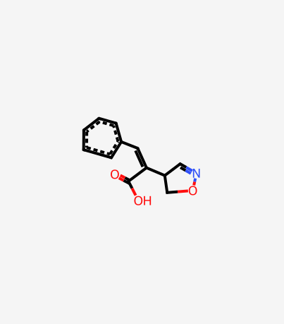 O=C(O)C(=Cc1ccccc1)C1C=NOC1